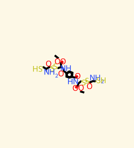 CCOC(=O)C(CSSC(=O)[C@@H](N)CS)NC(=O)c1ccc(C(=O)NC(CSSC(=O)[C@@H](N)CS)C(=O)OCC)cc1